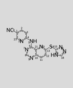 N#Cc1ccc(Nc2ncnc3ccc(Sc4nnc[nH]4)nc23)nc1